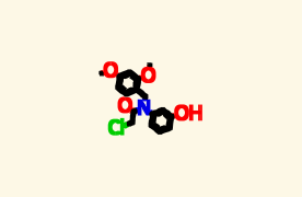 COc1ccc(CN(C(=O)CCl)c2cccc(O)c2)c(OC)c1